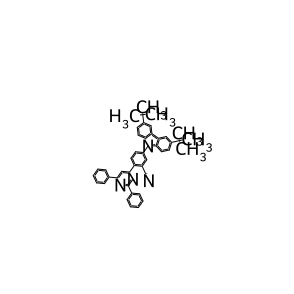 CC(C)(C)c1ccc2c(c1)c1cc(C(C)(C)C)ccc1n2-c1ccc(-c2cc(-c3ccccc3)nc(-c3ccccc3)n2)c(C#N)c1